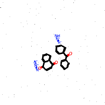 O=C(c1ccccc1)c1ccccc1.O=C1C=CC(=O)c2ccccc21.[N-]=[N+]=N.[N-]=[N+]=[N-]